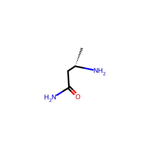 C[C@H](N)CC(N)=O